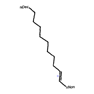 CCCCCCCCC/C=C/CCCCCCCCCCCCCCCCCC